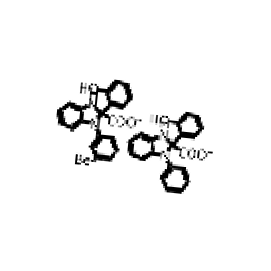 O=C([O-])C1(c2ccccc2O)Nc2ccccc2N1c1ccccc1.O=C([O-])C1(c2ccccc2O)Nc2ccccc2N1c1ccccc1.[Be+2]